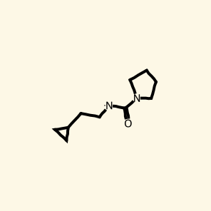 O=C([N]CCC1CC1)N1CCCC1